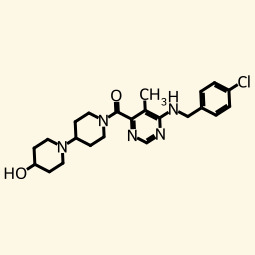 Cc1c(NCc2ccc(Cl)cc2)ncnc1C(=O)N1CCC(N2CCC(O)CC2)CC1